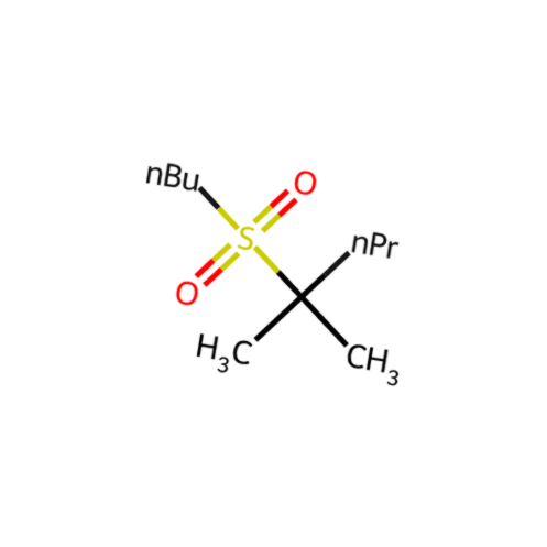 CCCCS(=O)(=O)C(C)(C)CCC